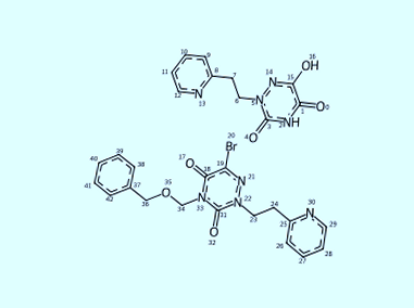 O=c1[nH]c(=O)n(CCc2ccccn2)nc1O.O=c1c(Br)nn(CCc2ccccn2)c(=O)n1COCc1ccccc1